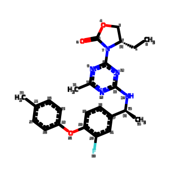 CC[C@H]1COC(=O)N1c1nc(C)nc(N[C@@H](C)c2ccc(Oc3ccc(C)cc3)c(F)c2)n1